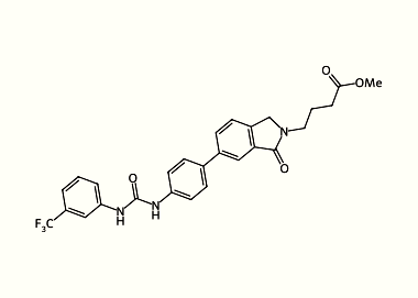 COC(=O)CCCN1Cc2ccc(-c3ccc(NC(=O)Nc4cccc(C(F)(F)F)c4)cc3)cc2C1=O